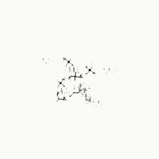 COC(=O)C(C)(CO)COCC(C)(COC(=O)C(C)(CO)COCC(C)C(=O)OCCC[Si](O)(O)OO[SiH](O)OC)C(=O)OCC(C)(CO)C(=O)OC